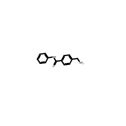 NCc1ccc(C(=O)Nc2cc[c]cc2)cc1